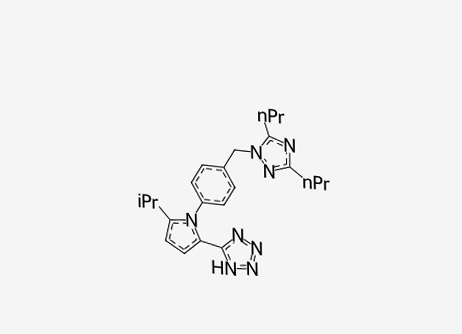 CCCc1nc(CCC)n(Cc2ccc(-n3c(-c4nnn[nH]4)ccc3C(C)C)cc2)n1